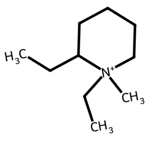 CCC1CCCC[N+]1(C)CC